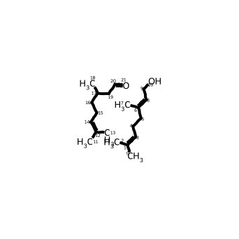 CC(C)=CCC/C(C)=C/CO.CC(C)=CCCC(C)CC=O